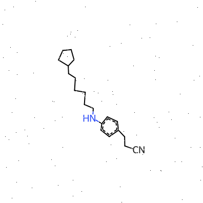 N#CCCc1ccc(NCCCCCCC2CCCC2)cc1